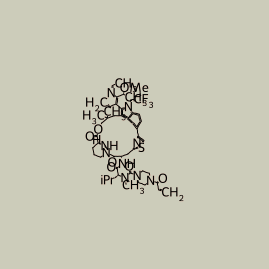 C=CC(=O)N1CCN(C(=O)N(C)[C@H](C(=O)N[C@H]2Cc3nc(cs3)-c3ccc4c(c3)c(c(/C(C=C)=C(/N=C\C)[C@H](C)OC)n4CC(F)(F)F)CC(C)(C)COC(=O)[C@@H]3CCCN(N3)C2=O)C(C)C)CC1